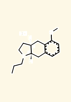 CCCN1CC[C@H]2Cc3c(cccc3OC)C[C@@H]21.Cl